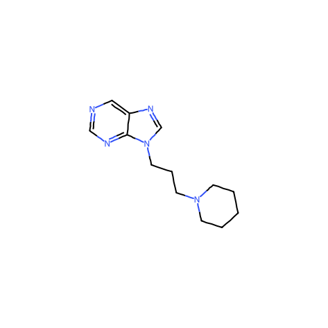 c1ncc2ncn(CCCN3CCCCC3)c2n1